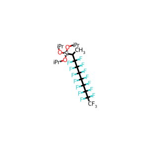 CC(C)O[Si](OC(C)C)(OC(C)C)C(C)C(F)(F)C(F)(F)C(F)(F)C(F)(F)C(F)(F)C(F)(F)C(F)(F)C(F)(F)F